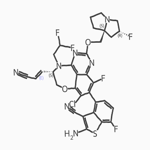 N#C/C=C/[C@H]1COc2c(Cl)c(-c3ccc(F)c4sc(N)c(C#N)c34)c(F)c3nc(OC[C@@]45CCCN4C[C@H](F)C5)nc(c23)N1CC(F)F